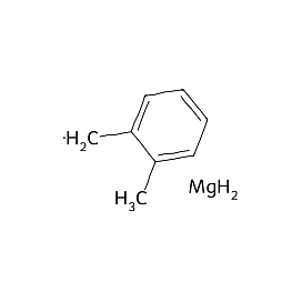 [CH2]c1ccccc1C.[MgH2]